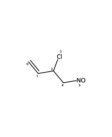 C=CC(Cl)CN=O